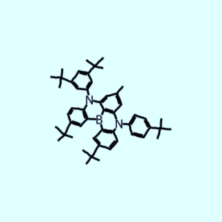 Cc1cc2c3c(c1)N(c1cc(C(C)(C)C)cc(C(C)(C)C)c1)c1ccc(C(C)(C)C)cc1B3c1cc(C(C)(C)C)ccc1N2c1ccc(C(C)(C)C)cc1